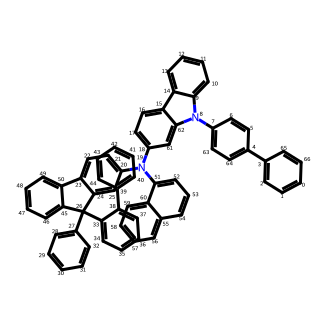 c1ccc(-c2ccc(-n3c4ccccc4c4ccc(N(c5ccc6c(c5)C(c5ccccc5)(c5ccccc5-c5ccccc5)c5ccccc5-6)c5cccc6ccccc56)cc43)cc2)cc1